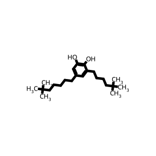 CC(C)(C)CCCCCc1cc(O)c(O)c(CCCCC(C)(C)C)c1